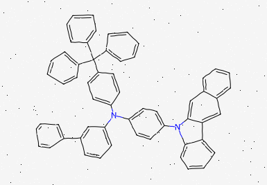 c1ccc(-c2cccc(N(c3ccc(-n4c5ccccc5c5cc6ccccc6cc54)cc3)c3ccc(C(c4ccccc4)(c4ccccc4)c4ccccc4)cc3)c2)cc1